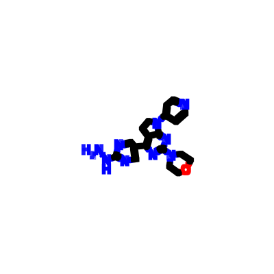 NNc1ncc(-c2nc(N3CCOCC3)nc3c2CCN3c2ccncc2)cn1